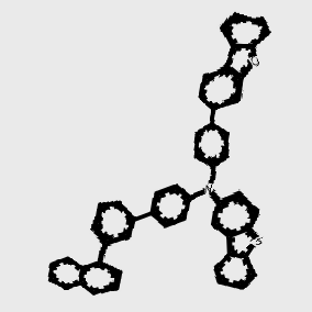 c1cc(-c2ccc(N(c3ccc(-c4ccc5c(c4)oc4ccccc45)cc3)c3ccc4sc5ccccc5c4c3)cc2)cc(-c2cccc3ccccc23)c1